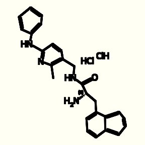 Cc1nc(Nc2ccccc2)ccc1CNC(=O)[C@@H](N)Cc1cccc2ccccc12.Cl.Cl